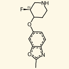 Cc1nc2ccc(OC3CCNC[C@@H]3F)cc2o1